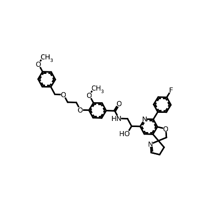 COc1ccc(COCCOc2ccc(C(=O)NCC(O)c3cc4c(c(-c5ccc(F)cc5)n3)OCC43CCC=N3)cc2OC)cc1